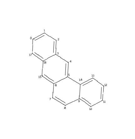 [c]1ccc2cc3c(ccc4ccccc43)cc2c1